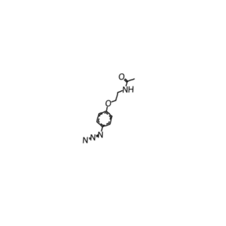 CC(=O)NCCOc1ccc(N=[N+]=[N-])cc1